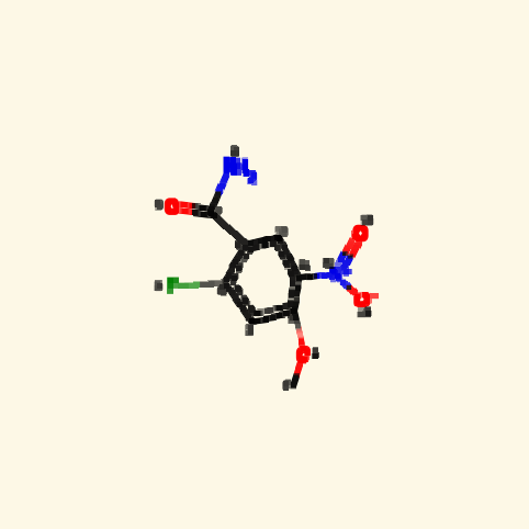 COc1cc(F)c(C(N)=O)cc1[N+](=O)[O-]